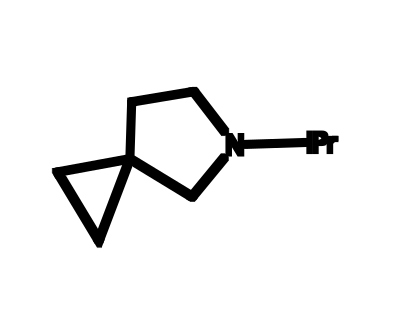 CC(C)N1CCC2(CC2)C1